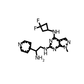 Cn1ncc2c(NC3CC(F)(F)C3)nc(NCC(N)c3ccncc3)nc21